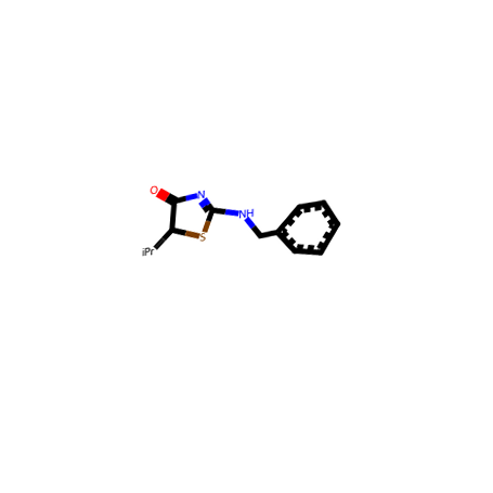 CC(C)C1SC(NCc2ccccc2)=NC1=O